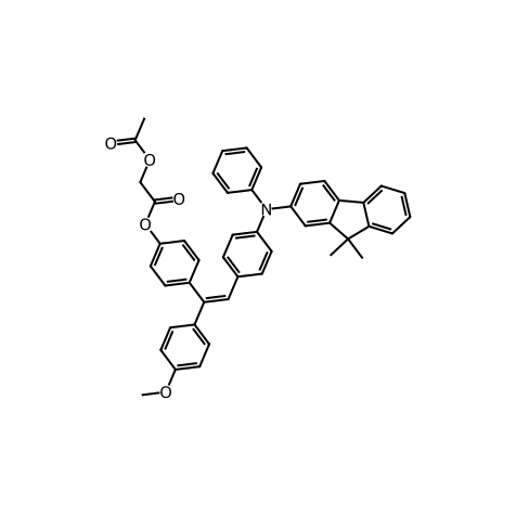 COc1ccc(C(=Cc2ccc(N(c3ccccc3)c3ccc4c(c3)C(C)(C)c3ccccc3-4)cc2)c2ccc(OC(=O)COC(C)=O)cc2)cc1